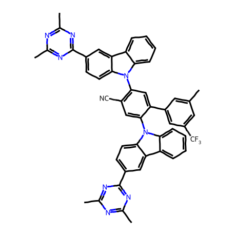 Cc1cc(-c2cc(-n3c4ccccc4c4cc(-c5nc(C)nc(C)n5)ccc43)c(C#N)cc2-n2c3ccccc3c3cc(-c4nc(C)nc(C)n4)ccc32)cc(C(F)(F)F)c1